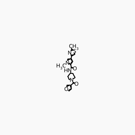 Cc1nc(-c2cc(C(=O)NC3CCN(C(=O)c4ccoc4)CC3)n(C)c2)cs1